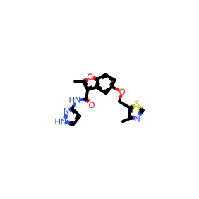 Cc1ncsc1COc1ccc2oc(C)c(C(=O)Nc3cc[nH]n3)c2c1